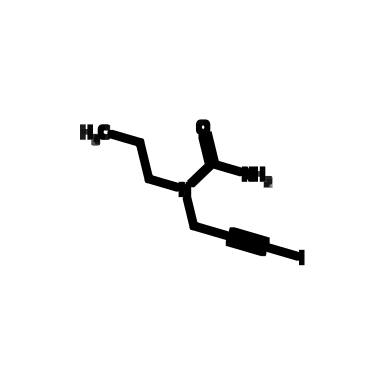 CCCN(CC#CI)C(N)=O